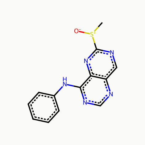 C[S+]([O-])c1ncc2ncnc(Nc3ccccc3)c2n1